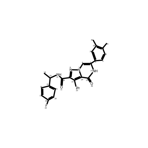 Cc1ccc(-c2cn3nc(C(=O)NC(C)c4ccc(F)cc4)c(C(C)C)c3c(=O)[nH]2)cc1C